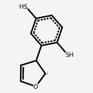 Sc1ccc(S)c(C2[C]OC=C2)c1